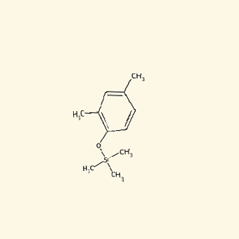 Cc1ccc(O[Si](C)(C)C)c(C)c1